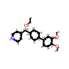 CCO[C@@H](c1ccncc1)c1ccc(-c2ccc(OC)c(OC)c2)cc1